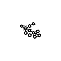 c1ccc(-c2ccc(-c3nc(-c4ccccc4)nc(-c4cccc(-c5cccc(-c6cc7c(cc6-c6ccccc6)-c6ccccc6C76c7ccccc7-c7ccccc76)c5)c4)n3)cc2)cc1